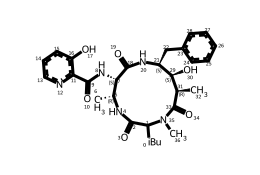 CCC(C)C1C(=O)N[C@H](C)[C@H](NC(=O)c2ncccc2O)C(=O)N[C@@H](Cc2ccccc2)[C@@H](O)[C@@H](C)C(=O)N1C